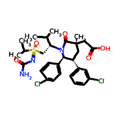 CC(C)[C@@H](CS(=O)(=NC(N)=O)C(C)C)N1C(=O)[C@@](C)(CC(=O)O)C[C@H](c2cccc(Cl)c2)[C@H]1c1ccc(Cl)cc1